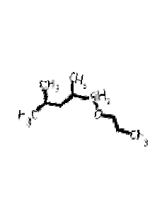 CCCO[SiH2]C(C)CC(C)C